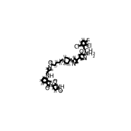 C[C@@H](Oc1cc(-c2cnn(C3CCN(CCCCC(=O)N4CC(CNc5cccc6c5CN(C5CCC(=O)NC5=O)C6=O)C4)CC3)c2)cnc1N)c1c(Cl)ccc(F)c1Cl